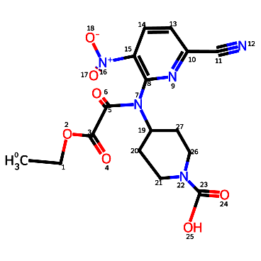 CCOC(=O)C(=O)N(c1nc(C#N)ccc1[N+](=O)[O-])C1CCN(C(=O)O)CC1